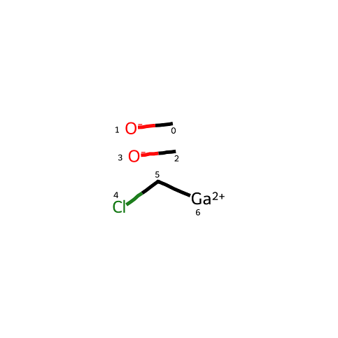 C[O-].C[O-].Cl[CH2][Ga+2]